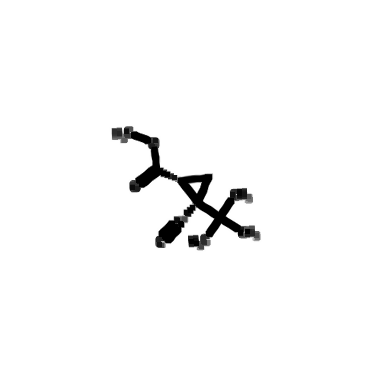 [C-]#[N+][C@@]1(C(C)(C)C)C[C@H]1C(=O)OC